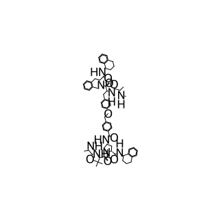 CNC(C)C(=O)NC(Cc1ccc(OCc2ccc(C(=O)N[C@H]3C[C@@H](C(=O)N[C@@H]4CCCc5ccccc54)N(C(=O)C(NC(=O)C(C)NC)C(C)(C)C)C3)cc2)cc1)C(=O)N1Cc2ccccc2CC1C(=O)N[C@@H]1CCCc2ccccc21